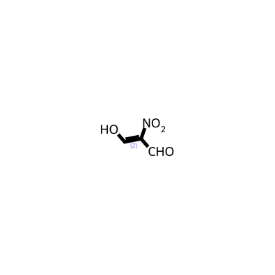 O=C/C(=C/O)[N+](=O)[O-]